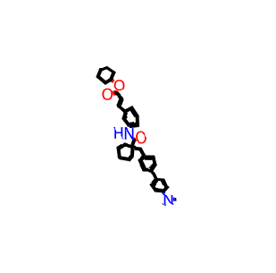 CN(C)c1ccc(-c2ccc(CC3(C(=O)Nc4cccc(/C=C/C(=O)OC5CCCCC5)c4)CCCCC3)cc2)cc1